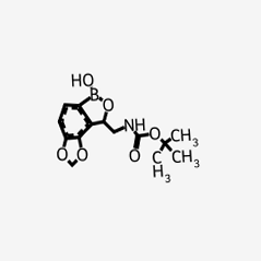 CC(C)(C)OC(=O)NCC1OB(O)c2ccc3c(c21)OCO3